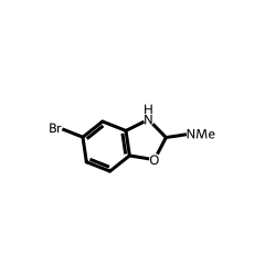 CNC1Nc2cc(Br)ccc2O1